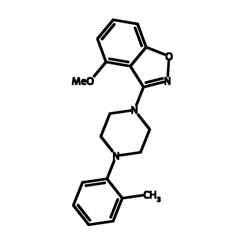 COc1cccc2onc(N3CCN(c4ccccc4C)CC3)c12